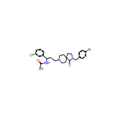 CC(C)C(=O)NC(CCN1CCC2(CC1)CCN(Cc1ccc(Br)cc1)C2=O)c1cccc(Cl)c1